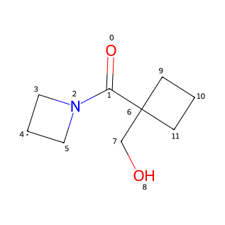 O=C(N1C[CH]C1)C1(CO)CCC1